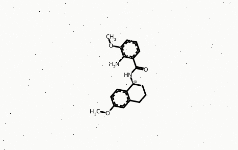 COc1ccc2c(c1)CCC[C@@H]2NC(=O)c1cccc(OC)c1N